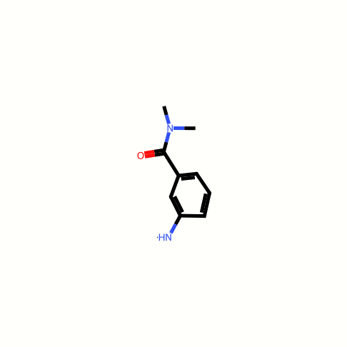 CN(C)C(=O)c1cccc([NH])c1